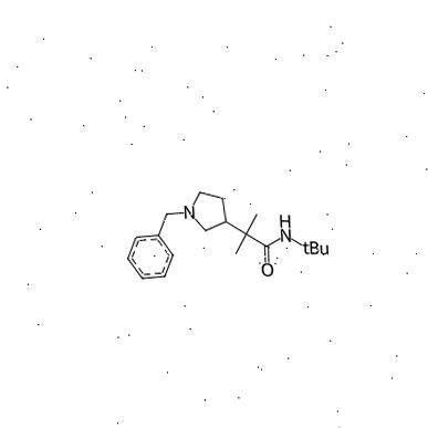 CC(C)(C)NC(=O)C(C)(C)C1CCN(Cc2ccccc2)C1